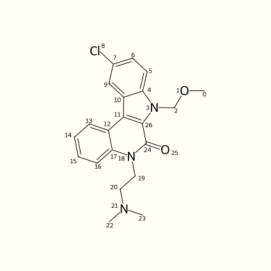 COCn1c2ccc(Cl)cc2c2c3ccccc3n(CCN(C)C)c(=O)c21